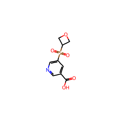 O=C(O)c1cncc(S(=O)(=O)C2COC2)c1